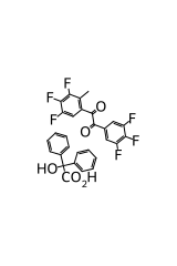 Cc1c(C(=O)C(=O)c2cc(F)c(F)c(F)c2)cc(F)c(F)c1F.O=C(O)C(O)(c1ccccc1)c1ccccc1